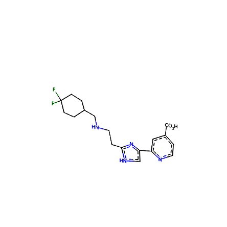 O=C(O)c1ccnc(-c2c[nH]c(CCNCC3CCC(F)(F)CC3)n2)c1